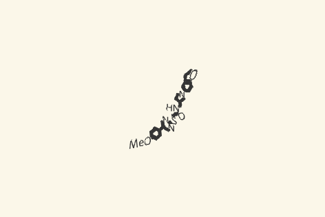 COc1ccc(-c2cnc(SCC(=O)NCC3CCN(c4ccc5c(c4)CCO5)C3)nc2)cc1